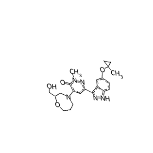 Cn1nc(-c2n[nH]c3ccc(OC4(C)CC4)cc23)cc(N2CCCOC(CO)C2)c1=O